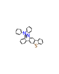 c1ccc(N2B3c4ccccc4-c4cc5sc6ccccc6c5cc4N3c3ccccc32)cc1